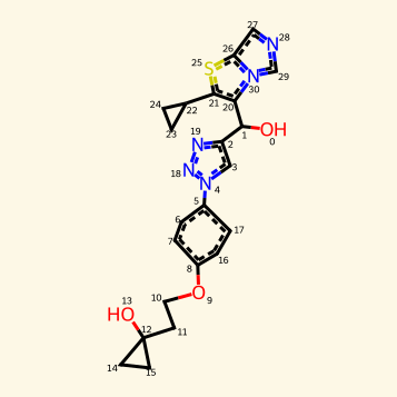 OC(c1cn(-c2ccc(OCCC3(O)CC3)cc2)nn1)c1c(C2CC2)sc2cncn12